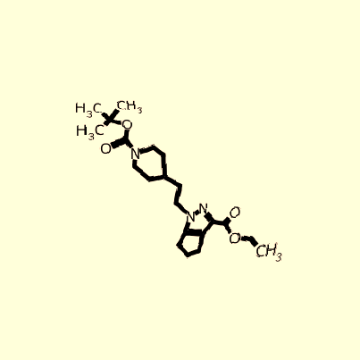 CCOC(=O)c1nn(CCC2CCN(C(=O)OC(C)(C)C)CC2)c2c1CCC2